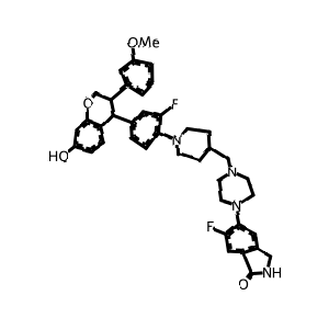 COc1cccc(C2COc3cc(O)ccc3C2c2ccc(N3CCC(CN4CCN(c5cc6c(cc5F)C(=O)NC6)CC4)CC3)c(F)c2)c1